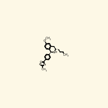 CCCC[C@H]1Cc2cc(OC)ccc2[C@H](c2ccc(-c3nc(C)no3)cc2)N1